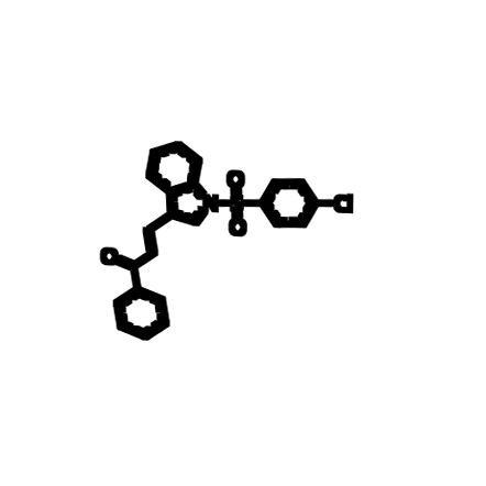 O=C(/C=C/c1cn(S(=O)(=O)c2ccc(Cl)cc2)c2ccccc12)c1ccccc1